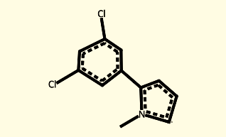 Cn1[c]ccc1-c1cc(Cl)cc(Cl)c1